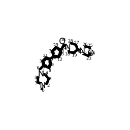 CN1CCCN(Cc2ccc(-c3ccc(C(=O)N4CCC(N5CCOCC5)CC4)cc3)cc2)CC1